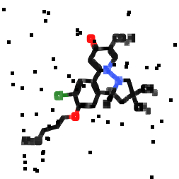 COCCCOc1cc2c(cc1Cl)-c1cc(=O)c(C(=O)O)cn1N1CC(C)(C)C[C@H]21